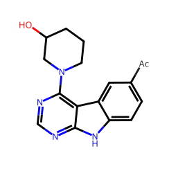 CC(=O)c1ccc2[nH]c3ncnc(N4CCCC(O)C4)c3c2c1